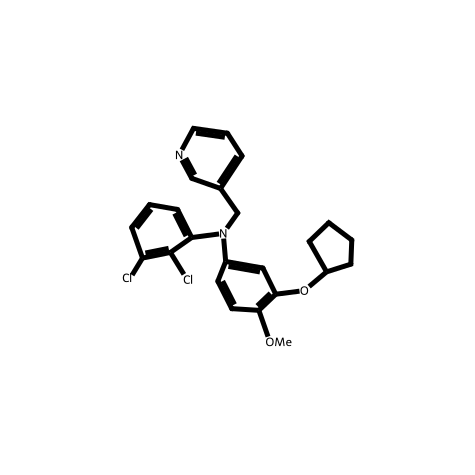 COc1ccc(N(Cc2cccnc2)c2cccc(Cl)c2Cl)cc1OC1CCCC1